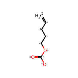 C=CCCCOC([O])=O